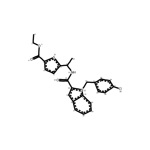 CCOC(=O)c1ccc(C(C)NC(=O)c2cc3ccccc3n2Cc2ccc(Cl)cc2)s1